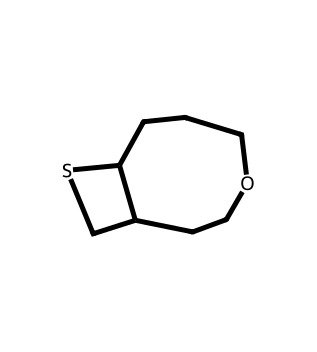 C1COCCC2CSC2C1